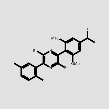 CCc1nc(-c2c(OC)cc(C(C)F)cc2OC)c(CC)nc1-c1cc(C)ccc1C